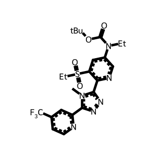 CCN(C(=O)OC(C)(C)C)c1cnc(-c2nnc(-c3cc(C(F)(F)F)ccn3)n2C)c(S(=O)(=O)CC)c1